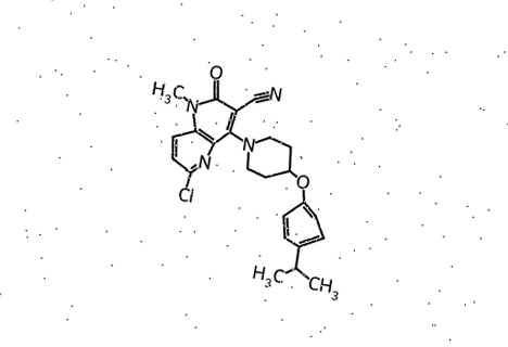 CC(C)c1ccc(OC2CCN(c3c(C#N)c(=O)n(C)c4ccc(Cl)nc34)CC2)cc1